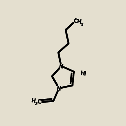 C=CN1C=CN(CCCC)C1.I